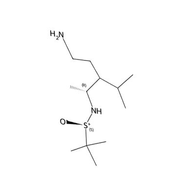 CC(C)C(CCN)[C@@H](C)N[S@+]([O-])C(C)(C)C